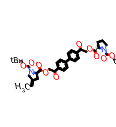 CC=C1CC(C(=O)OCC(=O)c2ccc(-c3ccc(C(=O)COC(=O)[C@@H]4CCCN4C(=O)OC(C)(C)C)cc3)cc2)N(C(=O)OC(C)(C)C)C1